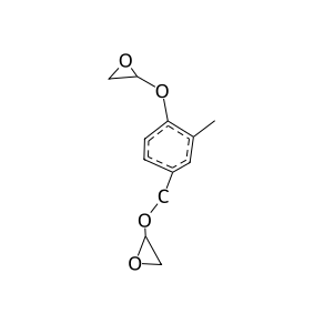 Cc1cc(COC2CO2)ccc1OC1CO1